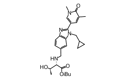 Cc1cc(-c2nc3ccc(CN[C@H](C(=O)OCC(C)C)[C@@H](C)O)cc3n2CC2CC2)cn(C)c1=O